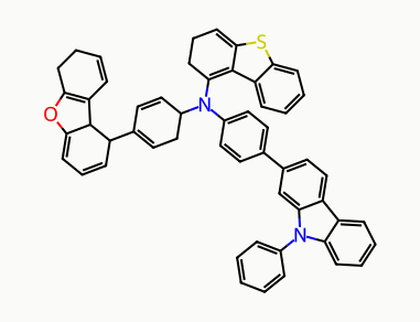 C1=CC(C2=CCC(N(C3=c4c(sc5ccccc45)=CCC3)c3ccc(-c4ccc5c6ccccc6n(-c6ccccc6)c5c4)cc3)C=C2)C2C(=C1)OC1=C2C=CCC1